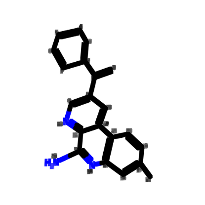 C=C(c1ccccc1)c1cnc2c(N)nc3cc(C)ccc3c2c1